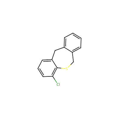 Clc1cccc2c1SCc1ccccc1C2